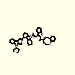 C=C(C1=C/Cc2ccccc2SC/C=C\1)c1sc2ccccc2c1/C=C(\C)n1c2c(c3c(-c4ccc5c(c4)c4ccccc4n5C(/C=C\C)=C/C)cccc31)C=CCC2